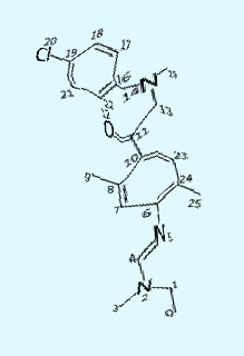 CCN(C)C=Nc1cc(C)c(C(=O)CN(C)c2ccc(Cl)cc2)cc1C